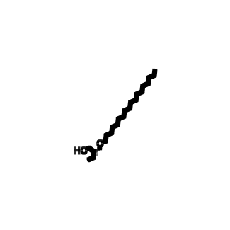 CCCCCCCCCCCCCCCCCCOC[C@H](CC)CO